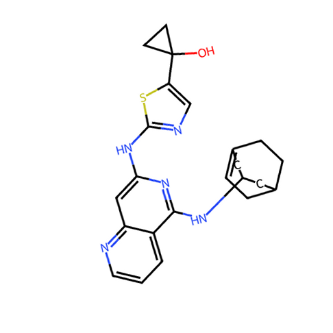 OC1(c2cnc(Nc3cc4ncccc4c(NC4CC5=CCC(CC5)C4)n3)s2)CC1